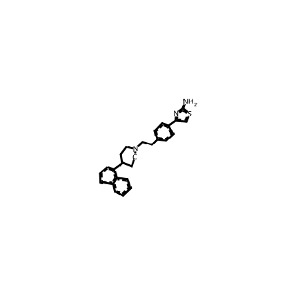 Nc1nc(-c2ccc(CCN3CCC(c4cccc5ccccc45)CC3)cc2)cs1